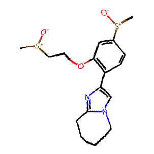 C[S+]([O-])CCOc1cc([S+](C)[O-])ccc1-c1cn2c(n1)CCCC2